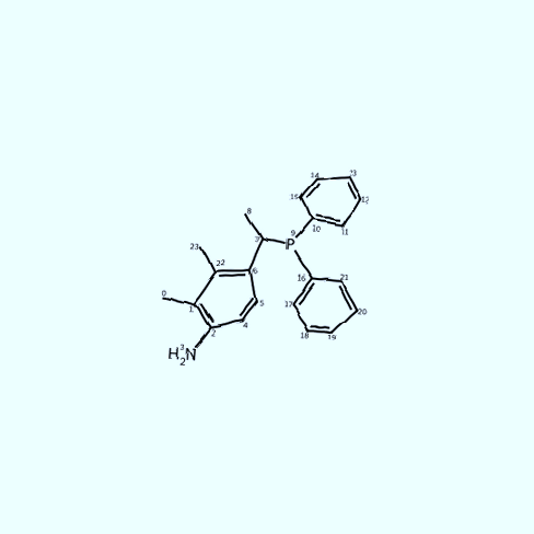 Cc1c(N)ccc(C(C)P(c2ccccc2)c2ccccc2)c1C